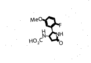 COc1ccc(F)c([C@H]2NC(=O)C[C@@H]2NC(=O)O)c1